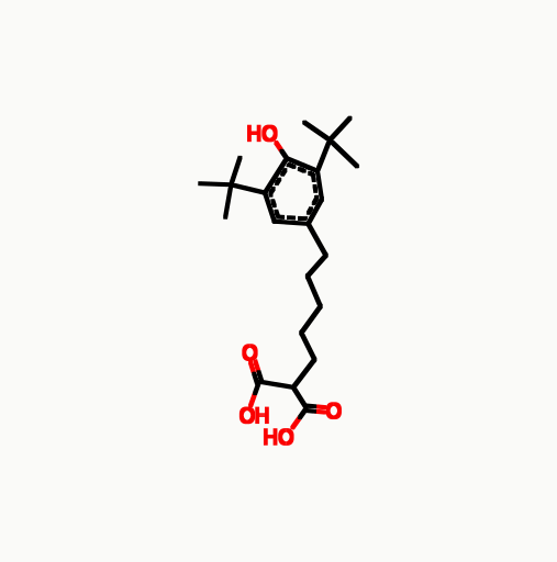 CC(C)(C)c1cc(CCCCCC(C(=O)O)C(=O)O)cc(C(C)(C)C)c1O